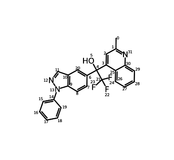 Cc1cc(C(O)(c2ccc3c(cnn3-c3ccccc3)c2)C(F)(F)F)c2ccccc2n1